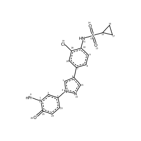 CCCn1cc(-n2cc(-c3ccc(NS(=O)(=O)C4CC4)c(Cl)c3)cn2)ccc1=O